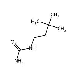 CC(C)(C)CCNC(N)=O